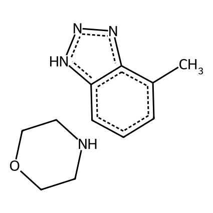 C1COCCN1.Cc1cccc2[nH]nnc12